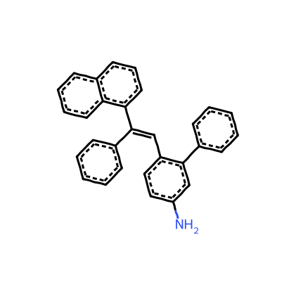 Nc1ccc(C=C(c2ccccc2)c2cccc3ccccc23)c(-c2ccccc2)c1